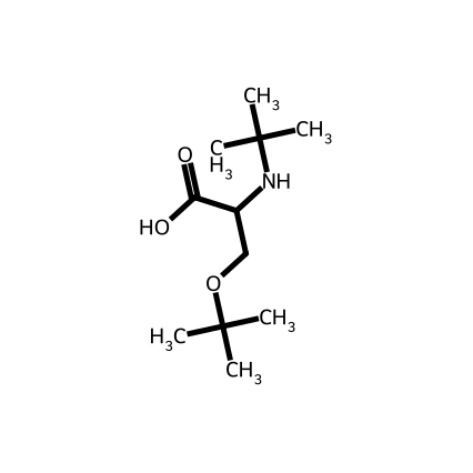 CC(C)(C)NC(COC(C)(C)C)C(=O)O